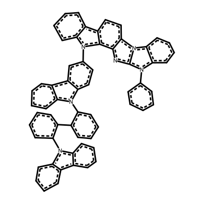 c1ccc(-n2c3ccccc3n3c4ccc5c6ccccc6n(-c6ccc7c(c6)c6ccccc6n7-c6ccccc6-c6ccccc6-n6c7ccccc7c7ccccc76)c5c4nc23)cc1